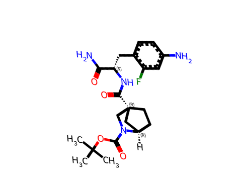 CC(C)(C)OC(=O)N1C[C@@]2(C(=O)N[C@@H](Cc3ccc(N)cc3F)C(N)=O)CC[C@@H]1C2